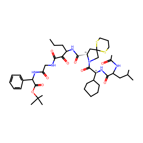 CCCC(NC(=O)[C@@H]1CC2(CN1C(=O)[C@@H](NC(=O)C(CC(C)C)NC(C)=O)C1CCCCC1)SCCCS2)C(=O)C(=O)NCC(=O)NC(C(=O)OC(C)(C)C)c1ccccc1